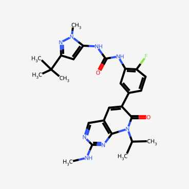 CNc1ncc2cc(-c3ccc(F)c(NC(=O)Nc4cc(C(C)(C)C)nn4C)c3)c(=O)n(C(C)C)c2n1